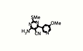 COc1cncc(-c2nc(SC)nc(N)c2C#N)c1